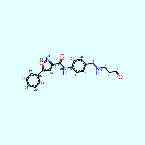 O=CCCNCc1ccc(NC(=O)c2cc(-c3ccccc3)on2)cc1